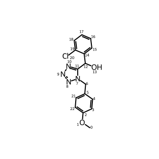 COc1ccc(Cn2nnnc2C(O)c2ccccc2Cl)cc1